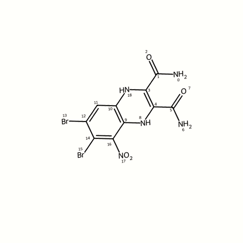 NC(=O)C1=C(C(N)=O)Nc2c(cc(Br)c(Br)c2[N+](=O)[O-])N1